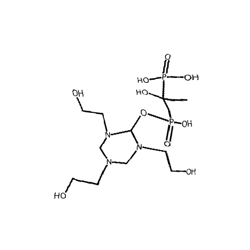 CC(O)(P(=O)(O)O)P(=O)(O)OC1N(CCO)CN(CCO)CN1CCO